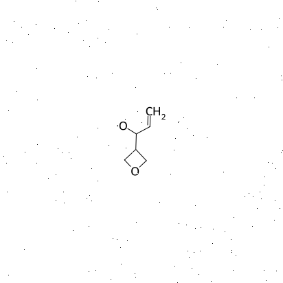 C=CC([O])C1COC1